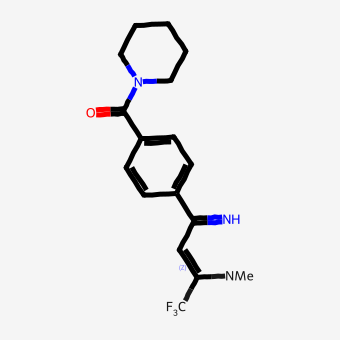 CN/C(=C\C(=N)c1ccc(C(=O)N2CCCCC2)cc1)C(F)(F)F